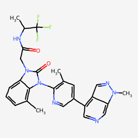 Cc1cc(-c2cncc3c2cnn3C)cnc1-n1c(=O)n(CC(=O)NC(C)C(F)(F)F)c2cccc(C)c21